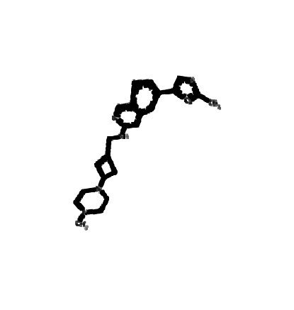 Cc1ncc(-c2ccc3cnc(NCC4CC(N5CCN(C)CC5)C4)cc3c2)o1